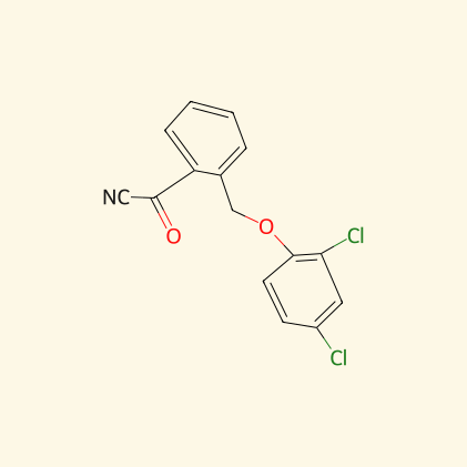 N#CC(=O)c1ccccc1COc1ccc(Cl)cc1Cl